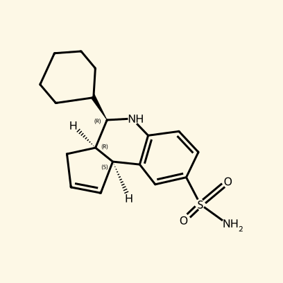 NS(=O)(=O)c1ccc2c(c1)[C@H]1C=CC[C@H]1[C@@H](C1CCCCC1)N2